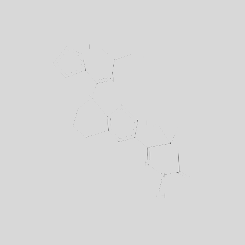 CC(C)N=C(c1cccs1)N1CCCc2cc(C3=NN(C)C(=O)SC3(C)C)ccc21